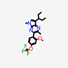 CCC(CC)c1cn(C)c2nc(-c3ccc(OC(F)(F)F)cc3OC)c(C)nc12